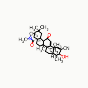 C[C@@H]1C(O)C(C#N)=C[C@]2(C)C3=CC(=O)C4C5CC(C)(C)CC[C@]5(C(=O)N(C)C)CC[C@@]4(C)[C@]3(C)CC[C@@H]12